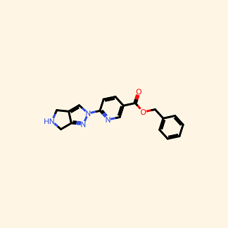 O=C(OCc1ccccc1)c1ccc(-n2cc3c(n2)CNC3)nc1